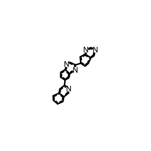 c1ccc2cc(-c3ccc4ncc(-c5ccc6cncnc6c5)nc4c3)ncc2c1